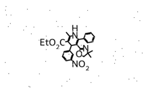 CCOC(=O)C1=C(C)NC(c2ccccc2)=C(C2=NC(C)(C)CO2)C1c1cccc([N+](=O)[O-])c1